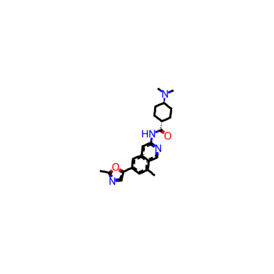 Cc1ncc(-c2cc(C)c3cnc(NC(=O)[C@H]4CC[C@H](N(C)C)CC4)cc3c2)o1